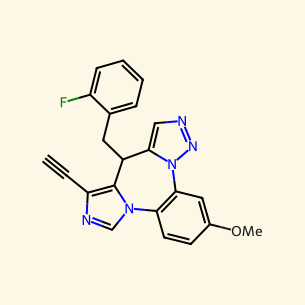 C#Cc1ncn2c1C(Cc1ccccc1F)c1cnnn1-c1cc(OC)ccc1-2